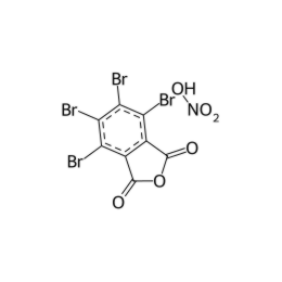 O=C1OC(=O)c2c(Br)c(Br)c(Br)c(Br)c21.O=[N+]([O-])O